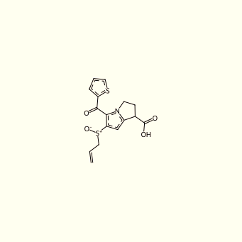 C=CC[S+]([O-])c1cc2n(c1C(=O)c1cccs1)CCC2C(=O)O